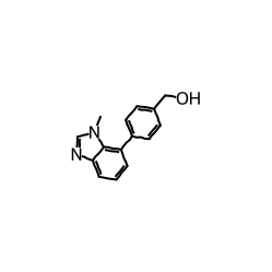 Cn1cnc2cccc(-c3ccc(CO)cc3)c21